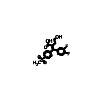 CS(=O)(=O)c1ccc(/C(=C(/CCO)C(=O)O)c2ccc(F)c(F)c2)cc1